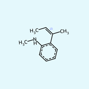 C/C=C(/C)c1ccccc1NC